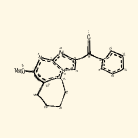 COc1nc2nc(C(=O)c3ccccc3)cn2c2c1CCCC2